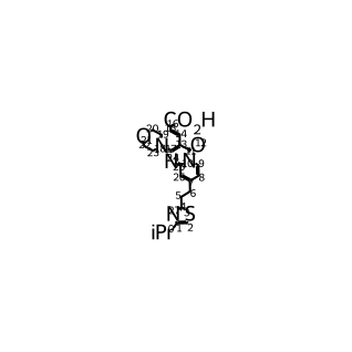 CC(C)c1csc(CCc2ccn3c(=O)c(C=CC(=O)O)c(N4CCOCC4)nc3c2)n1